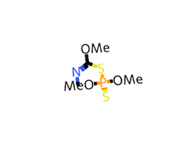 CN=C(OC)SP(=S)(OC)OC